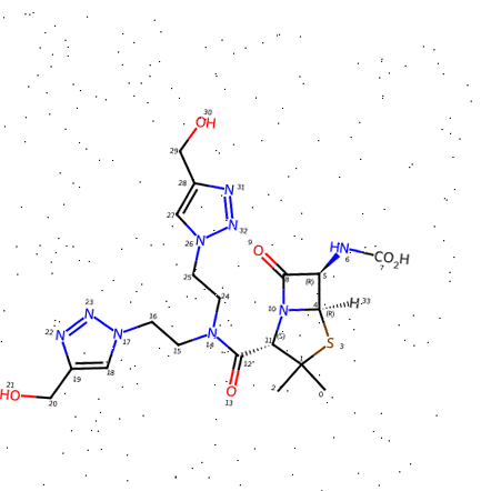 CC1(C)S[C@@H]2[C@H](NC(=O)O)C(=O)N2[C@H]1C(=O)N(CCn1cc(CO)nn1)CCn1cc(CO)nn1